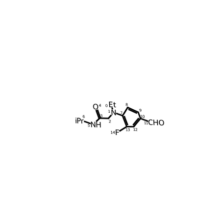 CCN(CC(=O)NC(C)C)c1ccc(C=O)cc1F